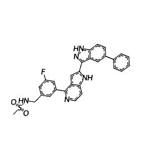 CS(=O)(=O)NCc1cc(F)cc(-c2nccc3[nH]c(-c4n[nH]c5ccc(-c6ccccc6)cc45)cc23)c1